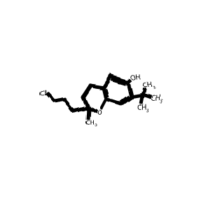 CC1(CCCCl)CCc2cc(O)c(C(C)(C)C)cc2O1